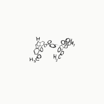 COc1ccc2c3c1OC1C(OC(=O)OC[C@H]4O[C@@H](OC)C5OC(C)(C)OC54)=CCC4[C@H](CCCC314)C2